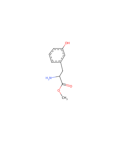 COC(=O)C(N)Cc1cccc(O)c1